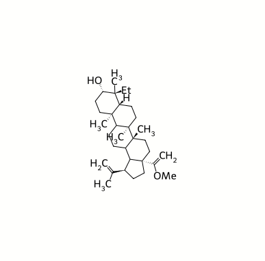 C=C(C)[C@@H]1CC[C@]2(C(=C)OC)CC[C@]3(C)C(CCC4[C@@]5(C)CC[C@H](O)[C@@](C)(CC)[C@@H]5CC[C@]43C)C12